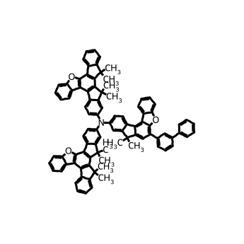 CC1(C)c2cc(N(c3ccc4c(c3)C(C)(C)c3c5c(c6c(oc7ccccc76)c3-4)-c3ccccc3C5(C)C)c3ccc4c(c3)C(C)(C)c3c5c(c6oc7ccccc7c6c3-4)-c3ccccc3C5(C)C)ccc2-c2c1cc(-c1cccc(-c3ccccc3)c1)c1oc3ccccc3c21